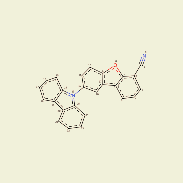 N#Cc1cccc2c1oc1ccc(-n3c4ccccc4c4ccccc43)cc12